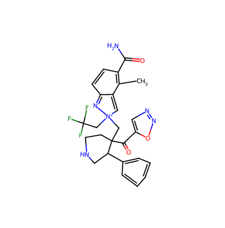 Cc1c(C(N)=O)ccc2c1=C[N+](CC(F)(F)F)(CC1(C(=O)c3cnno3)CCNCC1c1ccccc1)N=2